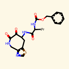 CC(C)C(NC(=O)OCc1ccccc1)C(=O)NC1Cc2scnc2CNC(=O)C1=O